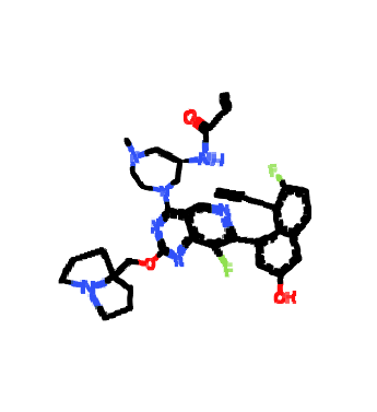 C#Cc1c(F)ccc2cc(O)cc(-c3ncc4c(N5CCN(C)C[C@@H](NC(=O)C=C)C5)nc(OCC56CCCN5CCC6)nc4c3F)c12